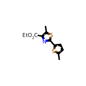 CCOC(=O)c1nc(-c2ccc(C)s2)sc1C